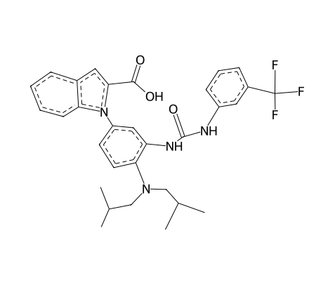 CC(C)CN(CC(C)C)c1ccc(-n2c(C(=O)O)cc3ccccc32)cc1NC(=O)Nc1cccc(C(F)(F)F)c1